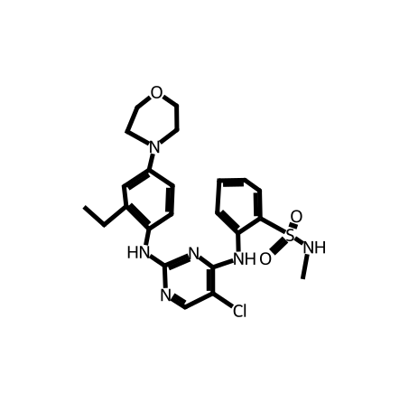 CCc1cc(N2CCOCC2)ccc1Nc1ncc(Cl)c(Nc2ccccc2S(=O)(=O)NC)n1